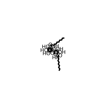 CCCCCCCCNC(=O)[C@H]1O[C@H](OC2O[C@H](C(=O)NCCCCCCCC)[C@@H](O)[C@H](O)[C@H]2O)[C@H](O)[C@H](O)[C@@H]1O